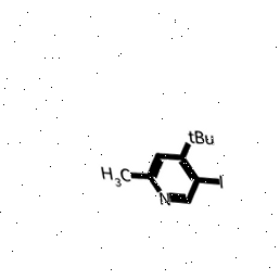 Cc1cc(C(C)(C)C)c(I)cn1